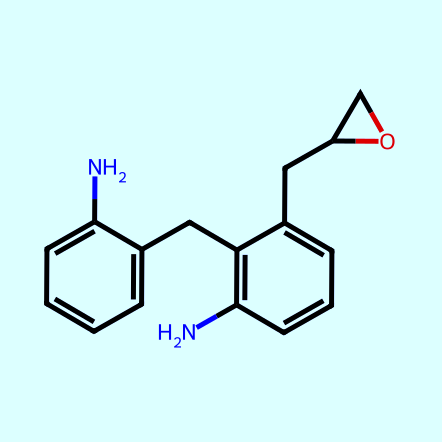 Nc1ccccc1Cc1c(N)cccc1CC1CO1